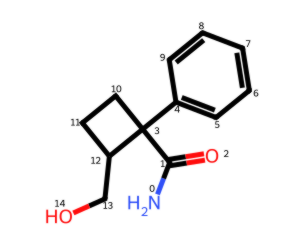 NC(=O)C1(c2ccccc2)CCC1CO